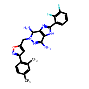 NC1=NN(Cc2cc(-c3ccc(C(F)(F)F)cc3C(F)(F)F)no2)C(N)c2nc(-c3cccc(F)c3F)[nH]c21